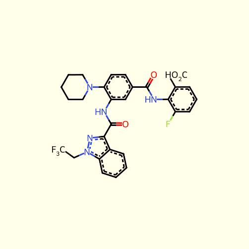 O=C(Nc1c(F)cccc1C(=O)O)c1ccc(N2CCCCC2)c(NC(=O)c2nn(CC(F)(F)F)c3ccccc23)c1